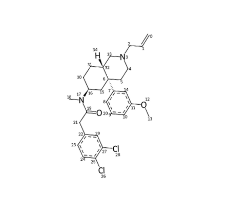 C=CCN1CC[C@@]2(c3cccc(OC)c3)C[C@@H](N(C)C(=O)Cc3ccc(Cl)c(Cl)c3)CC[C@@H]2C1